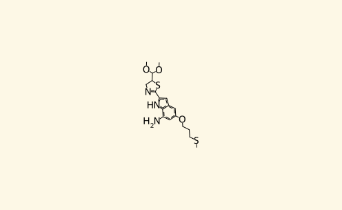 COC(OC)C1CN=C(c2cc3cc(OCCCSC)cc(N)c3[nH]2)S1